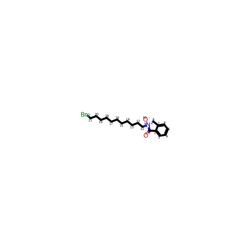 O=C1c2ccccc2C[N+]1([O-])CCCCCCCCCCCBr